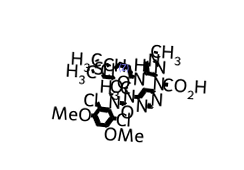 COc1cc(OC)c(Cl)c(N(COCC[Si](C)(C)C)C(=O)N(C)c2cc(N(C(=O)O)c3nn(C)cc3NC(=O)/C=C\Cl)ncn2)c1Cl